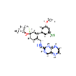 COc1cc(Cl)cc(C2=CC(F)(OC(C)C)CC=C2CNc2ncc3nccnc3n2)c1